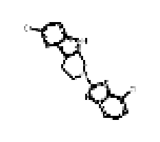 Clc1ccc2[nH]c3c(c2c1)CCN(c1nc2cccc(Cl)c2s1)C3